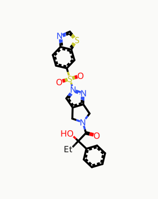 CCC(O)(C(=O)N1Cc2cn(S(=O)(=O)c3ccc4ncsc4c3)nc2C1)c1ccccc1